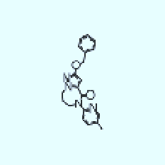 Cc1ccc(N2CCCn3nc(OCc4ccccc4)cc3C2=O)nc1